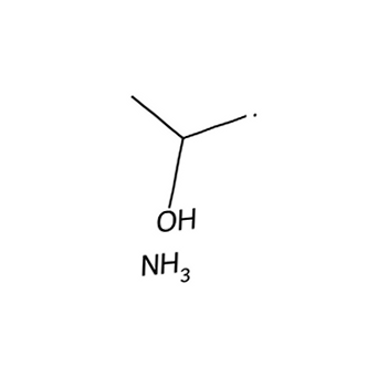 N.[CH2]C(C)O